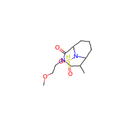 COCCN1CC(C)C2CCCC(C1=O)N2[SH](=O)=O